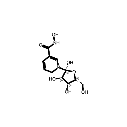 O=C(NO)C1=CN([C@@]2(O)O[C@H](CO)[C@@H](O)[C@H]2O)CC=C1